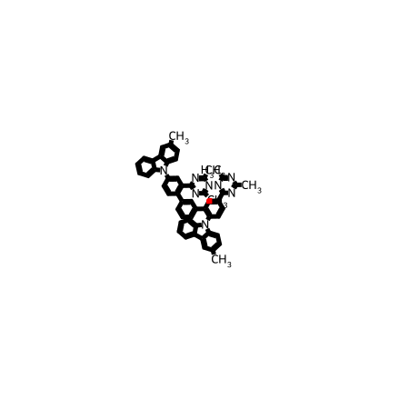 Cc1ccc2c(c1)c1ccccc1n2-c1ccc(-c2cccc(-c3cc(-c4nc(C)nc(C)n4)ccc3-n3c4ccccc4c4cc(C)ccc43)c2)c(-c2nc(C)nc(C)n2)c1